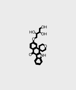 O=C1c2ccc(OC[C@@H](O)[C@H](O)CO)cc2C2(CCOCC2)c2[nH]c3ccccc3c21